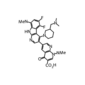 CNc1cc(F)c(F)c2c1[nH]c1ncc(-c3cnc4c(c3)c(=O)c(C(=O)O)cn4NC)c(N3CCCC(CN(C)C)C3)c12